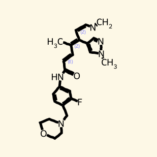 C=N\C=C/C(=C(C)/C=C/C(=O)Nc1ccc(CN2CCOCC2)c(F)c1)c1cnn(C)c1